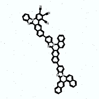 N#Cc1cc2c(c(C#N)c1C#N)c1cc3cc(-c4ccc5c(c4)nc4c6cc7ccc(-c8ccc9c(c8)nc8c%10cc%11ccccc%11cc%10c%10c%11ccccc%11ccc%10n98)cc7cc6c6ccc7ccccc7c6n54)ccc3cc1c1nc3ccccc3n21